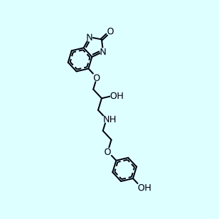 O=C1N=c2cccc(OCC(O)CNCCOc3ccc(O)cc3)c2=N1